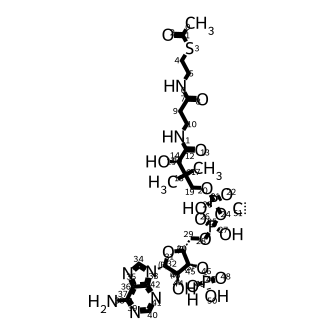 CC(=O)SCCNC(=O)CCNC(=O)[C@H](O)C(C)(C)COP(=O)(O)OP(=O)(O)OC[C@H]1O[C@@H](n2cnc3c(N)ncnc32)[C@H](O)[C@@H]1OP(=O)(O)O.[C]